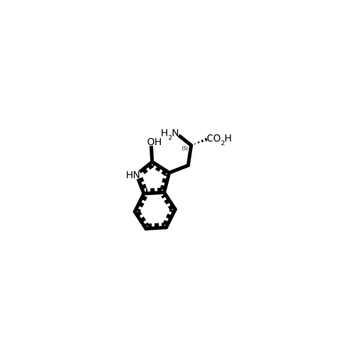 N[C@@H](Cc1c(O)[nH]c2ccccc12)C(=O)O